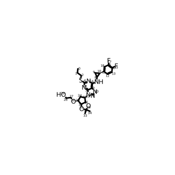 CCCSc1nc(NC2C[C@H]2c2ccc(F)c(F)c2)c2nnn([C@@H]3C[C@H](OCCO)C4OC(C)(C)OC43)c2n1